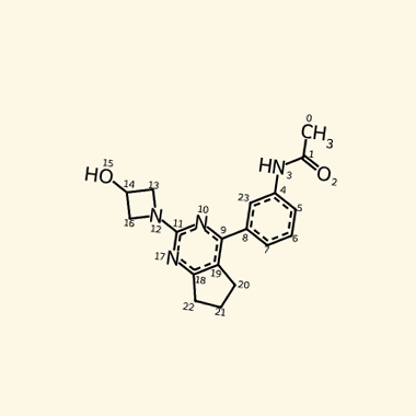 CC(=O)Nc1cccc(-c2nc(N3CC(O)C3)nc3c2CCC3)c1